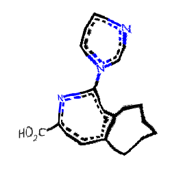 O=C(O)c1cc2c(c(-n3ccnc3)n1)CCC2